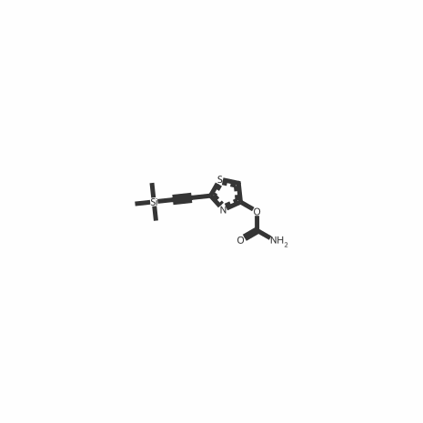 C[Si](C)(C)C#Cc1nc(OC(N)=O)cs1